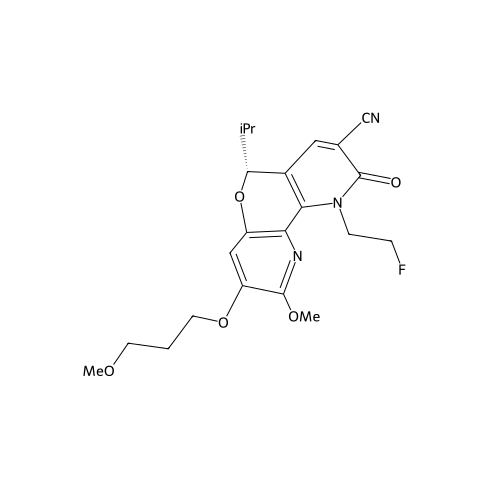 COCCCOc1cc2c(nc1OC)-c1c(cc(C#N)c(=O)n1CCF)[C@@H](C(C)C)O2